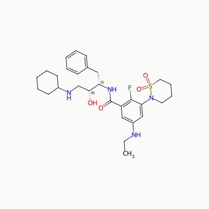 CCNc1cc(C(=O)N[C@@H](Cc2ccccc2)[C@H](O)CNC2CCCCC2)c(F)c(N2CCCCS2(=O)=O)c1